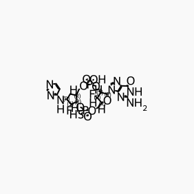 Nc1nc2c(ncn2[C@@H]2O[C@@H]3COP(=O)(S)O[C@@H]4[C@@H](COP(=O)(O)O[C@@H]2[C@@H]3F)C[C@@H](Nc2ccncn2)[C@@H]4F)c(=O)[nH]1